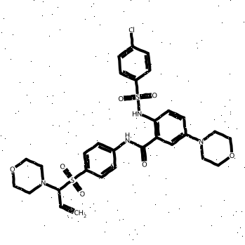 C=CC(N1CCOCC1)S(=O)(=O)c1ccc(NC(=O)c2cc(N3CCOCC3)ccc2NS(=O)(=O)c2ccc(Cl)cc2)cc1